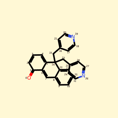 O=C1C=CC=C2C1=Cc1ccccc1C2(Cc1ccncc1)Cc1ccncc1